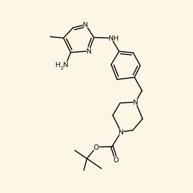 Cc1cnc(Nc2ccc(CN3CCN(C(=O)OC(C)(C)C)CC3)cc2)nc1N